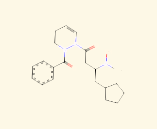 O=CN(O)C(CC(=O)N1C=CCCN1C(=O)c1ccccc1)CC1CCCC1